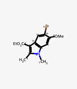 CCOC(=O)c1c(C)n(C)c2cc(OC)c(Br)cc12